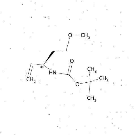 C=C[C@@H](CCOC)NC(=O)OC(C)(C)C